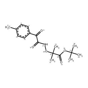 Cc1ccc(C(=O)C(=O)NOC(C)(C)C(=O)OC(C)(C)C)cc1